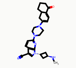 CN[C@H]1C[C@H](n2cc(C#N)c3ccc(N4CCN(C5=CC=C6C(=O)CCCC6C5)CC4)nc32)C1